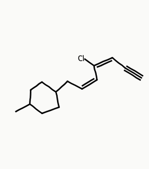 C#C/C=C(Cl)\C=C/CC1CCC(C)CC1